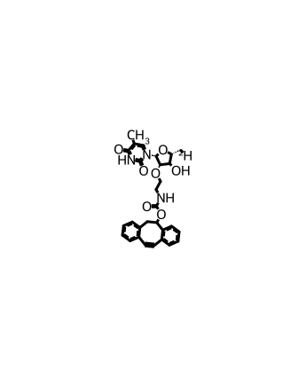 [2H]C[C@H]1O[C@@H](n2cc(C)c(=O)[nH]c2=O)[C@@H](OCCNC(=O)OC2Cc3ccccc3C#Cc3ccccc32)C1O